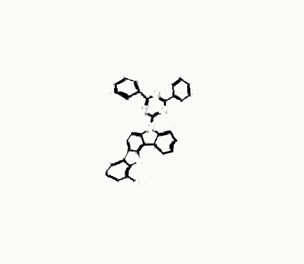 CC(C)c1cccc2c1sc1c2ccc2c1c1ccccc1n2-c1nc(-c2ccccc2)nc(-c2ccccc2)n1